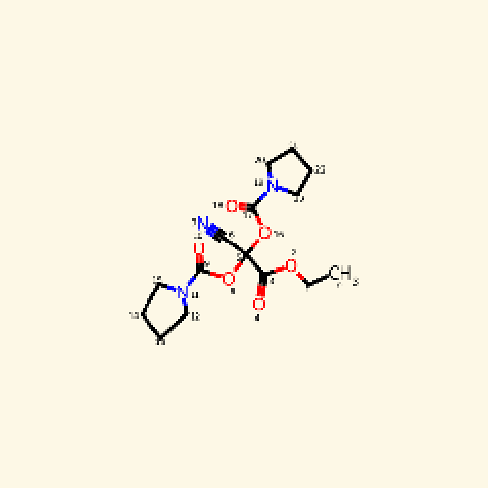 CCOC(=O)C(C#N)(OC(=O)N1CCCC1)OC(=O)N1CCCC1